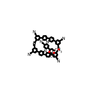 Cc1cc(-c2cc(-n3c4cc(-c5cc(C#N)cc(C#N)c5)ccc4c4ccc(-c5cc(C#N)cc(C#N)c5)cc43)c(C#N)cc2-n2c3cc(-c4cc(C#N)cc(C#N)c4)ccc3c3ccc(-c4cc(C#N)cc(C#N)c4)cc32)cc(C)n1